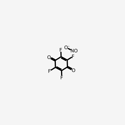 O=C1C(F)=C(F)C(=O)C(F)=C1F.O=[NH+][O-]